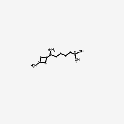 NC1CC(C(N)CCCCB(O)O)C1